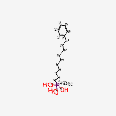 CCCCCCCCCCP(O)(O)(O)CCCCCCCCCCc1ccccc1